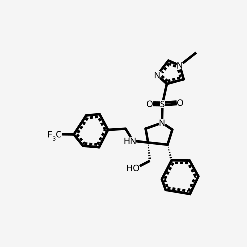 Cn1cnc(S(=O)(=O)N2C[C@H](c3ccccc3)[C@@](CO)(NCc3ccc(C(F)(F)F)cc3)C2)c1